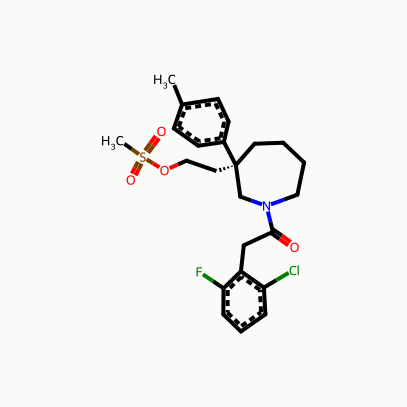 Cc1ccc([C@@]2(CCOS(C)(=O)=O)CCCCN(C(=O)Cc3c(F)cccc3Cl)C2)cc1